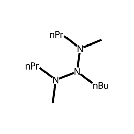 CCCCN(N(C)CCC)N(C)CCC